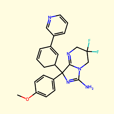 COc1ccc(C2(C3C=C(c4cccnc4)C=CC3)N=C(N)N3CC(F)(F)CN=C32)cc1